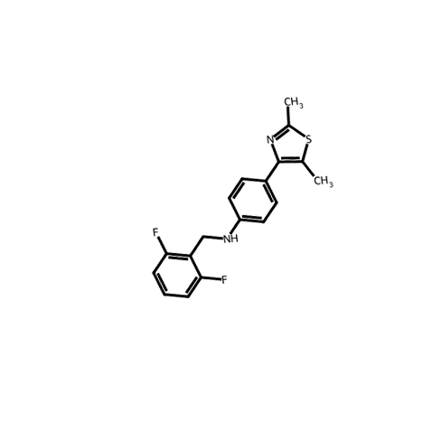 Cc1nc(-c2ccc(NCc3c(F)cccc3F)cc2)c(C)s1